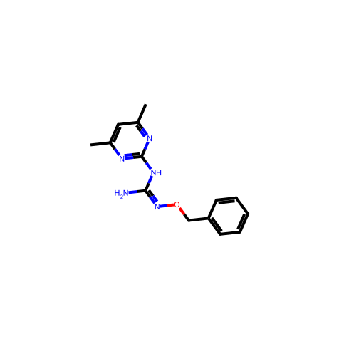 Cc1cc(C)nc(N/C(N)=N\OCc2ccccc2)n1